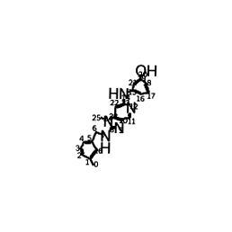 Cc1cccc(CNc2nc3cnc(Nc4cccc(O)c4)cc3n2C)c1